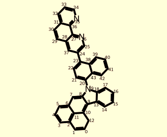 C1=Cc2cccc3cc4c(c(c23)C1)c1ccccc1n4-c1ccc(-c2cnc3c(ccc4cccnc43)c2)c2ccccc12